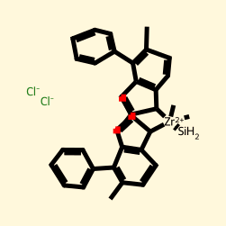 CC1=Cc2c(ccc(C)c2-c2ccccc2)[CH]1[Zr+2]([CH3])([CH3])(=[SiH2])[CH]1C(C)=Cc2c1ccc(C)c2-c1ccccc1.[Cl-].[Cl-]